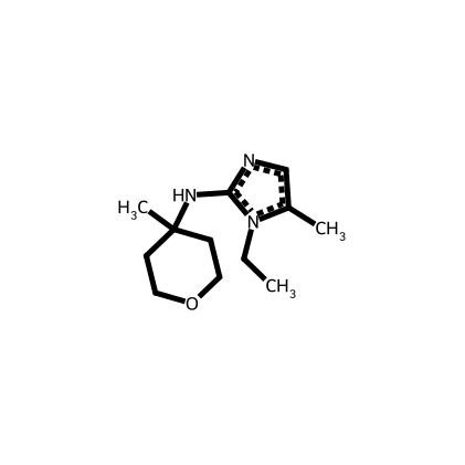 CCn1c(C)cnc1NC1(C)CCOCC1